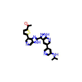 CC(=O)c1ccc(-c2cncc3[nH]c(-c4n[nH]c5ncc(-c6cncc(NC(C)C)c6)cc45)nc23)s1